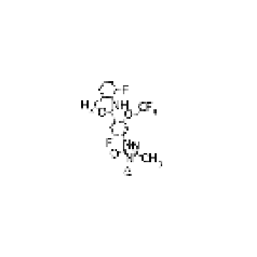 Cc1cccc(F)c1NC(=O)c1cc(F)c(-n2nc(C)n(C3CC3)c2=O)cc1OCC(F)(F)F